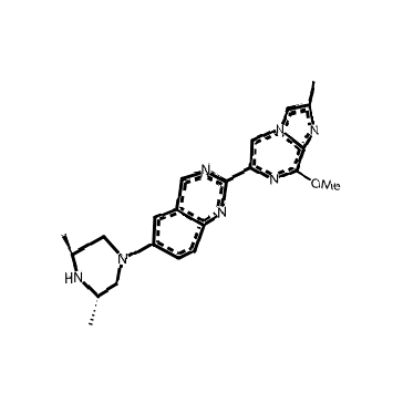 COc1nc(-c2ncc3cc(N4C[C@H](C)N[C@@H](C)C4)ccc3n2)cn2cc(C)nc12